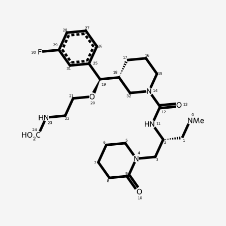 CNC[C@H](CN1CCCCC1=O)NC(=O)N1CCC[C@@H]([C@@H](OCCNC(=O)O)c2cccc(F)c2)C1